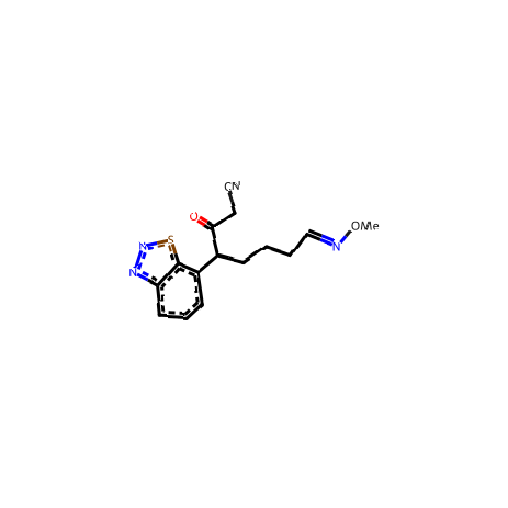 CON=CCCCC(C(=O)CC#N)c1cccc2nnsc12